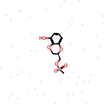 CS(=O)(=O)OC[C@H]1COc2c(O)cccc2O1